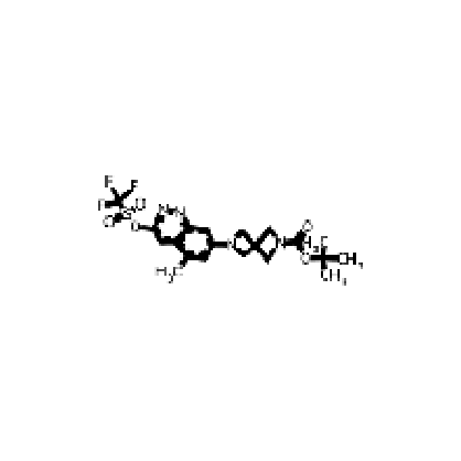 Cc1cc(N2CC3(CN(C(=O)OC(C)(C)C)C3)C2)cc2nnc(OS(=O)(=O)C(F)(F)F)cc12